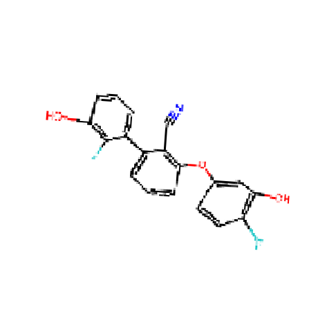 N#Cc1c(Oc2ccc(F)c(O)c2)cccc1-c1cccc(O)c1F